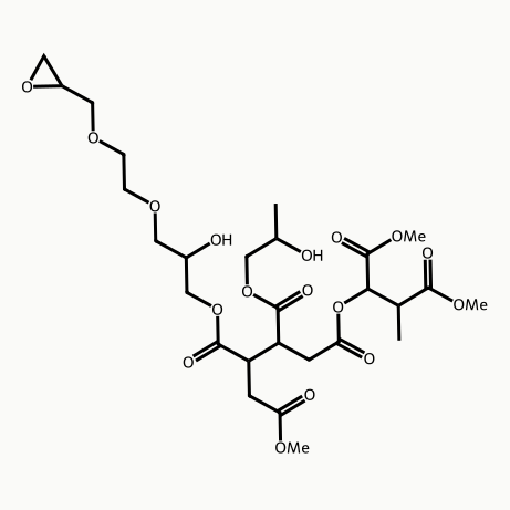 COC(=O)CC(C(=O)OCC(O)COCCOCC1CO1)C(CC(=O)OC(C(=O)OC)C(C)C(=O)OC)C(=O)OCC(C)O